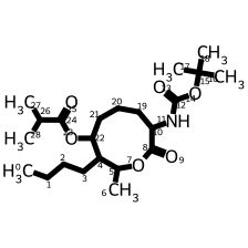 CCCCC1C(C)OC(=O)C(NC(=O)OC(C)(C)C)CCCC1OC(=O)C(C)C